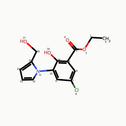 CCOC(=O)c1cc(Cl)cc(-n2cccc2CO)c1O